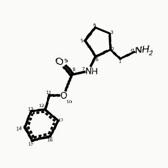 NCC1CCCC1NC(=O)OCc1ccccc1